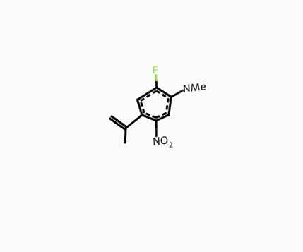 C=C(C)c1cc(F)c(NC)cc1[N+](=O)[O-]